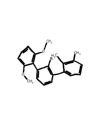 COc1cccc(OC)c1-c1cccc(-c2cccc(C)c2C)c1Br